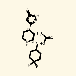 CC(=O)O.O=c1cc([C@@H]2CCN[C@@H](CC3CCC(F)(F)CC3)C2)o[nH]1